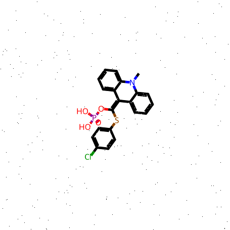 CN1c2ccccc2C(=C(OP(=O)(O)O)Sc2ccc(Cl)cc2)c2ccccc21